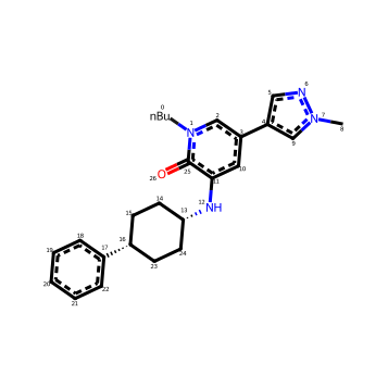 CCCCn1cc(-c2cnn(C)c2)cc(N[C@H]2CC[C@@H](c3ccccc3)CC2)c1=O